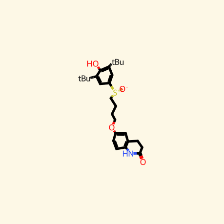 CC(C)(C)c1cc([S+]([O-])CCCCOc2ccc3c(c2)CCC(=O)N3)cc(C(C)(C)C)c1O